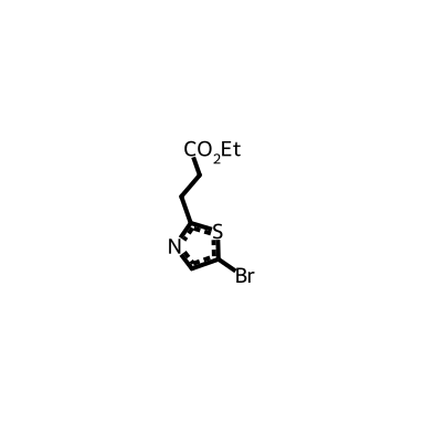 CCOC(=O)CCc1ncc(Br)s1